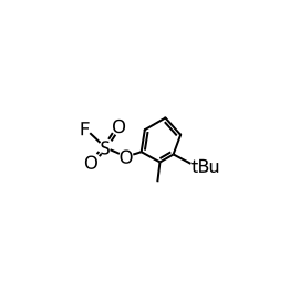 Cc1c(OS(=O)(=O)F)cccc1C(C)(C)C